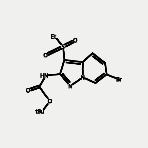 CCS(=O)(=O)c1c(NC(=O)OC(C)(C)C)nn2cc(Br)ccc12